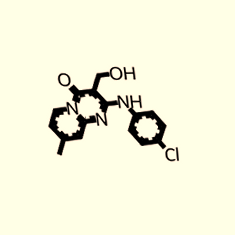 Cc1ccn2c(=O)c(CO)c(Nc3ccc(Cl)cc3)nc2c1